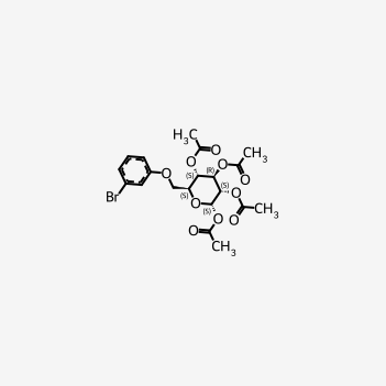 CC(=O)O[C@@H]1O[C@@H](COc2cccc(Br)c2)[C@H](OC(C)=O)[C@@H](OC(C)=O)[C@@H]1OC(C)=O